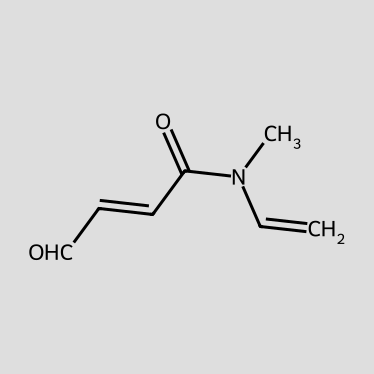 C=CN(C)C(=O)C=CC=O